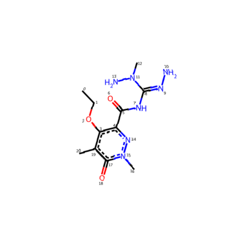 CCOc1c(C(=O)N/C(=N/N)N(C)N)nn(C)c(=O)c1C